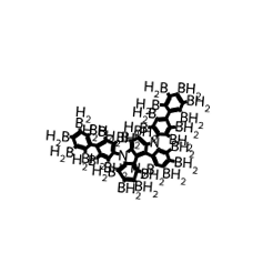 Bc1c(B)c(B)c(-c2c(B)c(B)c(-n3c4c(B)c(B)c(B)c(B)c4c4c5c6c(B)c(B)c(B)c(B)c6n(-c6c(B)c(B)c(-c7c(B)c(B)c(B)c(B)c7B)c(B)c6B)c5c(B)c(B)c43)c(B)c2B)c(B)c1B